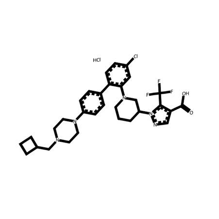 Cl.O=C(O)c1cnn(C2CCCN(c3cc(Cl)ccc3-c3ccc(N4CCN(CC5CCC5)CC4)cc3)C2)c1C(F)(F)F